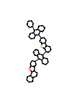 c1ccc(-c2c3ccccc3c(-c3ccc4c(c3)sc3c(-c5c6ccccc6c(-c6ccc7oc8c9ccccc9ccc8c7c6)c6ccccc56)cccc34)c3ccccc23)cc1